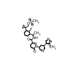 C[C@@H](NC(=O)c1ccc(=O)n(-c2cncc(-c3cnnn3C)c2)n1)c1cccc(C2(COS(C)(=O)=O)CC2)c1F